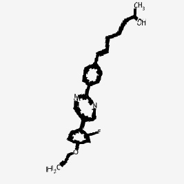 C=CCOc1ccc(-c2cnc(-c3ccc(C=CCCCC(C)O)cc3)nc2)c(F)c1